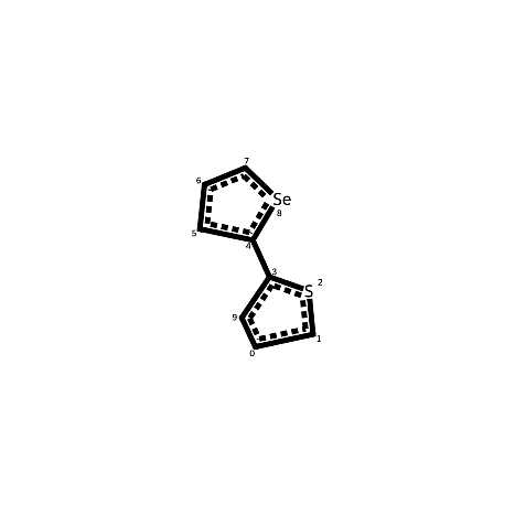 c1csc(-c2ccc[se]2)c1